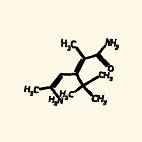 C/C(N)=C/C(=C(\C)C(N)=O)C(C)(C)C